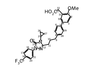 COc1ccc(-c2ccc(CCCc3nn(-c4ccc(C(F)(F)F)cc4)c(=O)n3C3CC3)cc2)cc1CC(=O)O